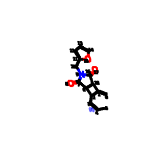 C=C1C(/C=C\C)C2C(=O)N(Cc3ccco3)C(=O)C12